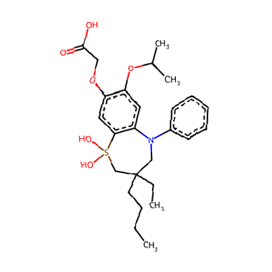 CCCCC1(CC)CN(c2ccccc2)c2cc(OC(C)C)c(OCC(=O)O)cc2S(O)(O)C1